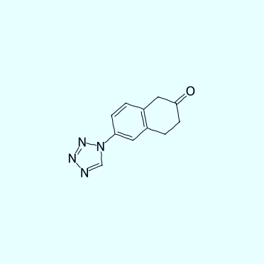 O=C1CCc2cc(-n3cnnn3)ccc2C1